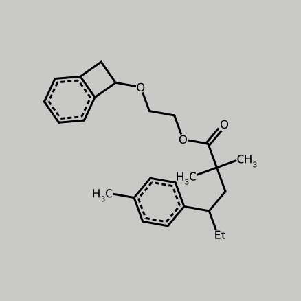 CCC(CC(C)(C)C(=O)OCCOC1Cc2ccccc21)c1ccc(C)cc1